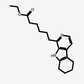 CCOC(=O)CCCCCc1nccc2c3c([nH]c12)CCCC3